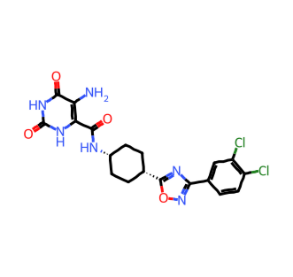 Nc1c(C(=O)N[C@H]2CC[C@@H](c3nc(-c4ccc(Cl)c(Cl)c4)no3)CC2)[nH]c(=O)[nH]c1=O